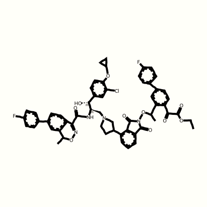 CCOC(=O)C(=O)c1ccc(-c2ccc(F)cc2)cc1C(C)ON1C(=O)c2cccc(C3CCN(C[C@@H](NC(=O)C4=NOC(C)c5cc(-c6ccc(F)cc6)ccc54)[C@H](O)c4ccc(OC5CC5)c(Cl)c4)C3)c2C1=O